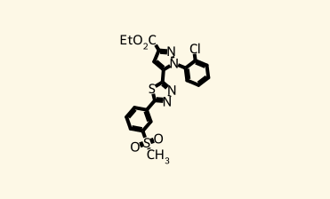 CCOC(=O)c1cc(-c2nnc(-c3cccc(S(C)(=O)=O)c3)s2)n(-c2ccccc2Cl)n1